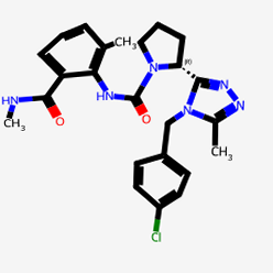 CNC(=O)c1cccc(C)c1NC(=O)N1CCC[C@@H]1c1nnc(C)n1Cc1ccc(Cl)cc1